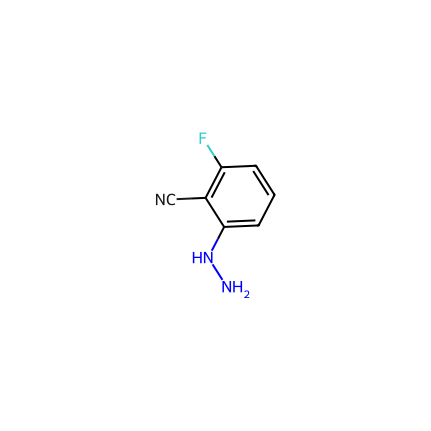 N#Cc1c(F)cccc1NN